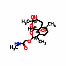 CNC(=O)COC1O[C@@H]2O[C@](C)(O)CCC3[C@H](C)CCC([C@H]1C)[C@]32O